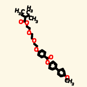 CCC(C(=O)OCCOCCOCCOc1ccc(C(=O)Oc2ccc(-c3ccc(OC)cc3)cc2)cc1)C(C)C